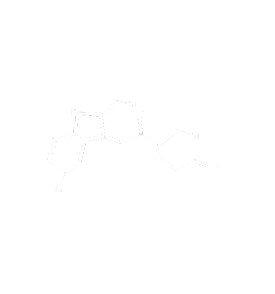 C=C/C=C\C(=C/N)C(=C)/C=c1\c(=C/N)[nH]c2ncc(Br)cc12